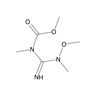 COC(=O)N(C)C(=N)N(C)OC